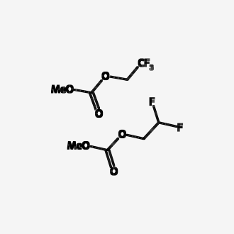 COC(=O)OCC(F)(F)F.COC(=O)OCC(F)F